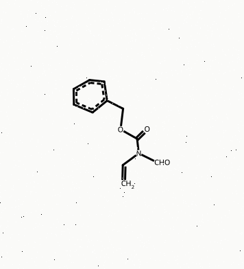 C=CN(C=O)C(=O)OCc1ccccc1